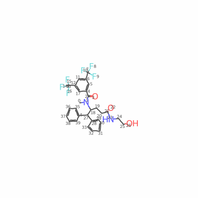 CN(C(=O)c1cc(C(F)(F)F)cc(C(F)(F)F)c1)C(CCC(=O)NCCO)C(c1ccccc1)c1ccccc1